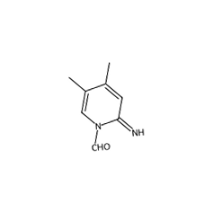 Cc1cc(=N)n(C=O)cc1C